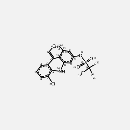 CC=C1c2cccc(Cl)c2Nc2cc(OS(=O)(=O)C(F)(F)F)cc(I)c21